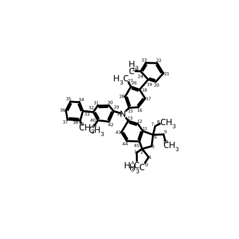 CCC1(CC)CC(CC)(CC)c2cc(N(c3ccc(-c4ccccc4C)c(C)c3)c3ccc(-c4ccccc4C)c(C)c3)ccc21